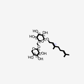 CC(C)=CCC/C(C)=C/CO[C@@H]1O[C@H](CO[C@@H]2OC[C@@H](O)[C@H](O)[C@H]2O)[C@@H](O)[C@H](O)[C@H]1O